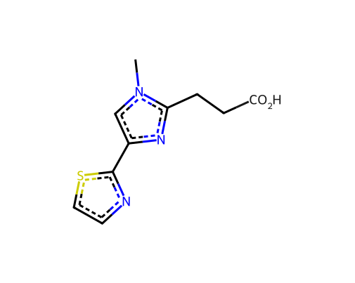 Cn1cc(-c2nccs2)nc1CCC(=O)O